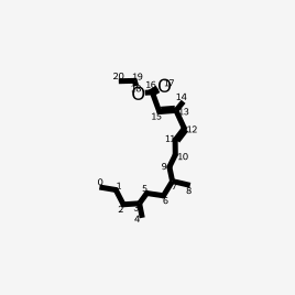 CCCC(C)CCC(C)CCC=CC(C)=CC(=O)OCC